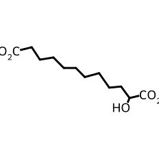 O=C(O)CCCCCCCCCC(O)C(=O)O